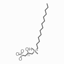 CCCCCCCCCCCCCC[N+](C)(C)C[C@H](O)CS(=O)(=O)[O-]